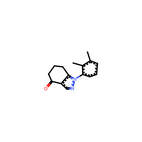 Cc1cccc(-n2ncc3c2CCCC3=O)c1C